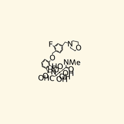 CNC(=O)C(O)(O)C(O)(O)C(O)(C=O)N1Cc2c(OCc3ccc(CN4CCOCC4)cc3F)cccc2C1=O